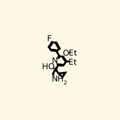 CCOc1c(CC)cc([C@@](O)(CN)C2CC2)nc1-c1ccc(F)cc1